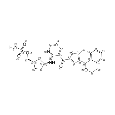 Cc1sc(C(=O)c2cncnc2N[C@H]2CC[C@@H](COS(N)(=O)=O)C2)cc1C1OCCc2ccccc21